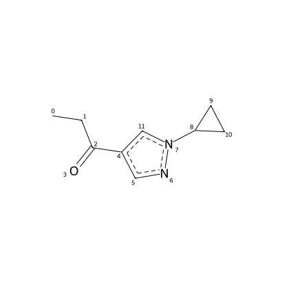 CCC(=O)c1cnn(C2CC2)c1